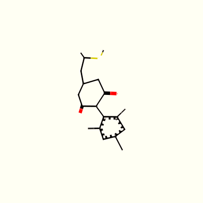 CCSC(C)CC1CC(=O)C(c2c(CC)cc(C)cc2CC)C(=O)C1